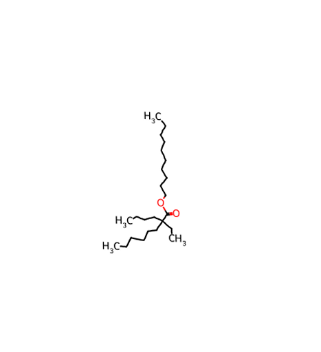 CCCCCCCCCCOC(=O)C(CC)(CCCC)CCCCCC